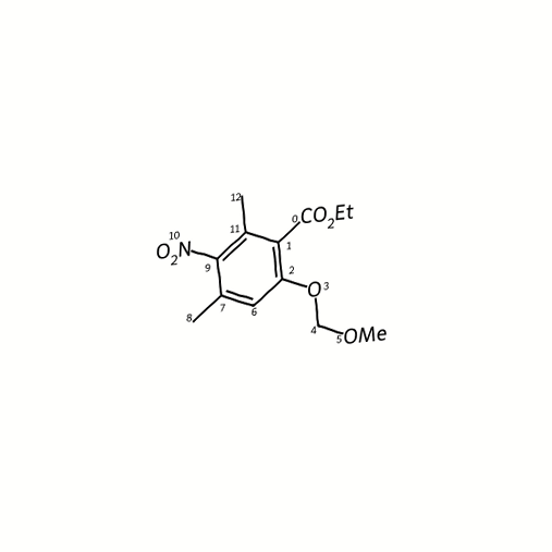 CCOC(=O)c1c(OCOC)cc(C)c([N+](=O)[O-])c1C